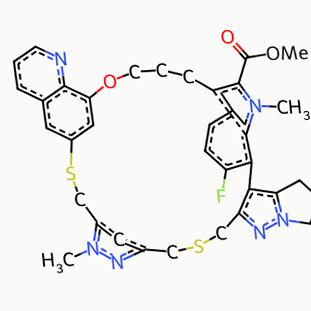 COC(=O)c1c2c3ccc(F)c(c3n1C)-c1c(nn3c1CCC3)CSCc1cc(n(C)n1)CSc1cc(c3ncccc3c1)OCCC2